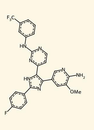 COc1cc(-c2nc(-c3ccc(F)cc3)[nH]c2-c2ccnc(Nc3cccc(C(F)(F)F)c3)n2)cnc1N